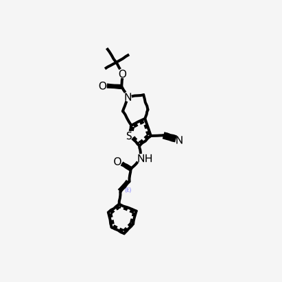 CC(C)(C)OC(=O)N1CCc2c(sc(NC(=O)/C=C/c3ccccc3)c2C#N)C1